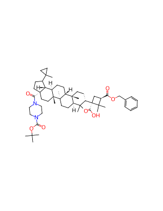 CC(C)(C)OC(=O)N1CCN(C(=O)[C@]23CCC(C4(C)CC4)[C@@H]2[C@H]2CC[C@@H]4[C@]5(C)CC[C@H]([C@@]6(C(=O)O)C[C@@H](C(=O)OCc7ccccc7)C6(C)C)C(C)(C)[C@H]5CC[C@@]4(C)[C@]2(C)CC3)CC1